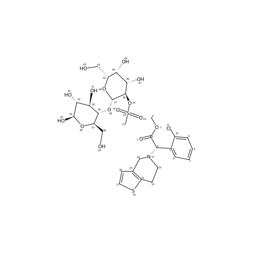 COC(=O)[C@H](c1ccccc1Cl)N1CCc2sccc2C1.CS(=O)(=O)O[C@H]1[C@H](O[C@H]2[C@H](O)[C@@H](O)[C@H](O)O[C@@H]2CO)O[C@H](CO)[C@H](O)[C@@H]1O